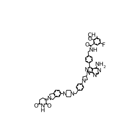 COc1ccc(F)cc1C(=O)NCc1ccc(-c2nn(C3CN(c4ccc(CN5CCN(c6ccc7c(c6)CN([C@H]6CCC(=O)NC6=O)C7)CC5)cc4)C3)c3ncnc(N)c23)cc1